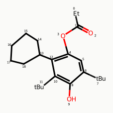 CCC(=O)Oc1cc(C(C)(C)C)c(O)c(C(C)(C)C)c1C1CCCCC1